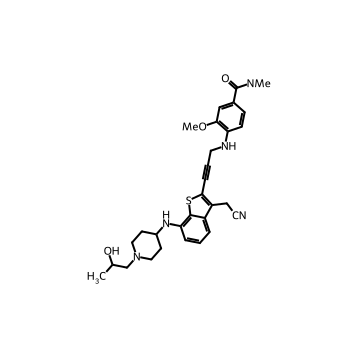 CNC(=O)c1ccc(NCC#Cc2sc3c(NC4CCN(CC(C)O)CC4)cccc3c2CC#N)c(OC)c1